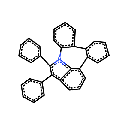 c1ccc(-c2c(-c3ccccc3)n3c4c(cccc24)-c2ccccc2-c2ccccc2-3)cc1